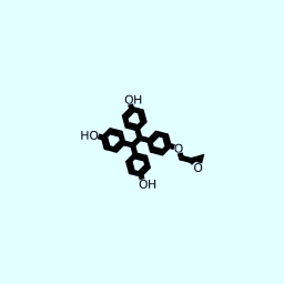 Oc1ccc(C(c2ccc(O)cc2)C(c2ccc(O)cc2)c2ccc(OCC3CO3)cc2)cc1